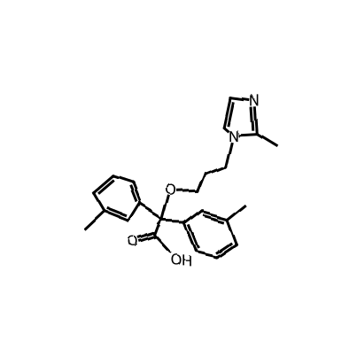 Cc1cccc(C(OCCCn2ccnc2C)(C(=O)O)c2cccc(C)c2)c1